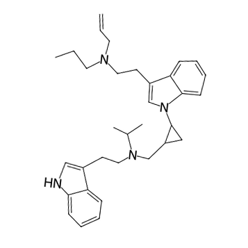 C=CCN(CCC)CCc1cn(C2CC2CN(CCc2c[nH]c3ccccc23)C(C)C)c2ccccc12